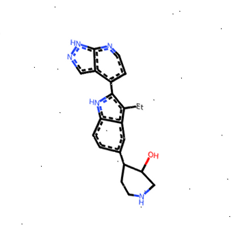 CCc1c(-c2ccnc3[nH]ncc23)[nH]c2ccc(C3CCNCC3O)cc12